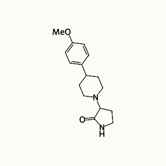 COc1ccc(C2CCN(C3CCNC3=O)CC2)cc1